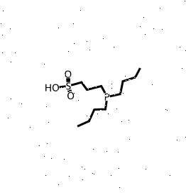 CCCCP(CCCC)CCCS(=O)(=O)O